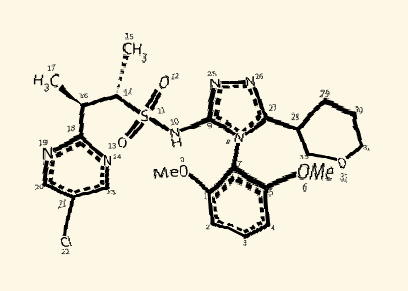 COc1cccc(OC)c1-n1c(NS(=O)(=O)[C@@H](C)[C@H](C)c2ncc(Cl)cn2)nnc1C1CCCOC1